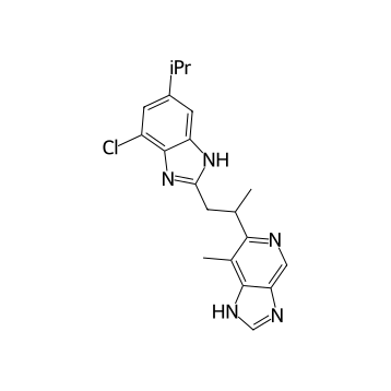 Cc1c(C(C)Cc2nc3c(Cl)cc(C(C)C)cc3[nH]2)ncc2nc[nH]c12